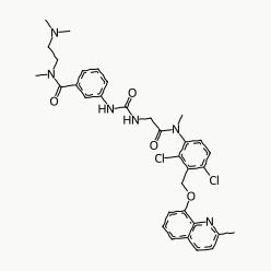 Cc1ccc2cccc(OCc3c(Cl)ccc(N(C)C(=O)CNC(=O)Nc4cccc(C(=O)N(C)CCN(C)C)c4)c3Cl)c2n1